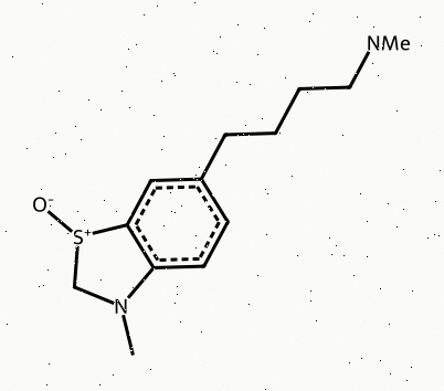 CNCCCCc1ccc2c(c1)[S+]([O-])CN2C